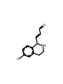 O=C/C=C/C1NCCc2cc(Cl)ccc21